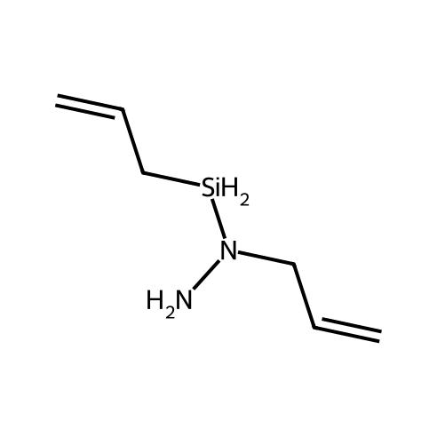 C=CC[SiH2]N(N)CC=C